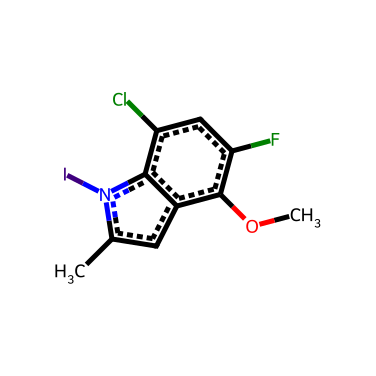 COc1c(F)cc(Cl)c2c1cc(C)n2I